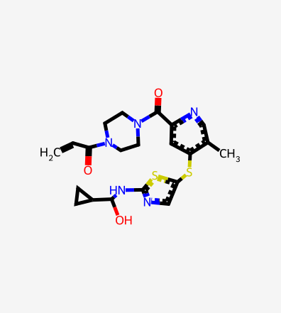 C=CC(=O)N1CCN(C(=O)c2cc(Sc3cnc(NC(O)C4CC4)s3)c(C)cn2)CC1